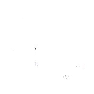 COc1c(O)ccc2c1CN1CCc3sc(CC4CC4)cc3[C@@H]1C2